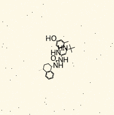 Cc1cc(O)cc(N/C(=C\C(=N)C(C)(C)C)NC(=O)N[C@H]2CC[C@@H](C)c3ccccc32)c1